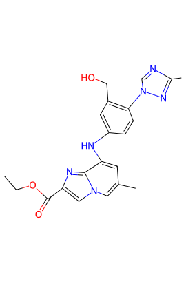 CCOC(=O)c1cn2cc(C)cc(Nc3ccc(-n4cnc(C)n4)c(CO)c3)c2n1